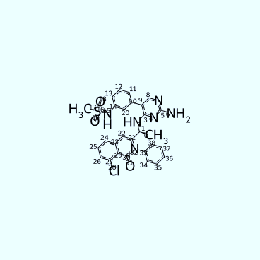 C[C@H](Nc1nc(N)ncc1-c1cccc(NS(C)(=O)=O)c1)c1cc2cccc(Cl)c2c(=O)n1-c1ccccc1